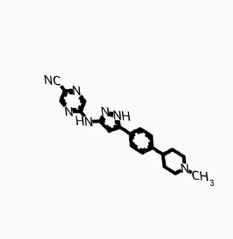 CN1CCC(c2ccc(-c3cc(Nc4cnc(C#N)cn4)n[nH]3)cc2)CC1